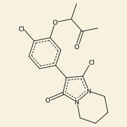 CC(=O)C(C)Oc1cc(-c2c(Cl)n3n(c2=O)CCCC3)ccc1Cl